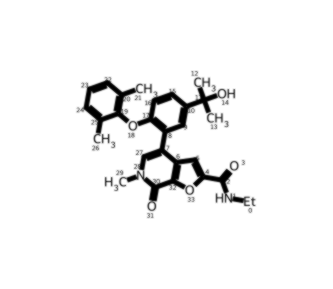 CCNC(=O)c1cc2c(-c3cc(C(C)(C)O)ccc3Oc3c(C)cccc3C)cn(C)c(=O)c2o1